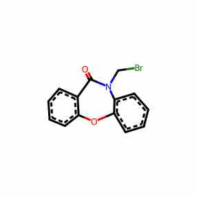 O=C1c2ccccc2Oc2ccccc2N1CBr